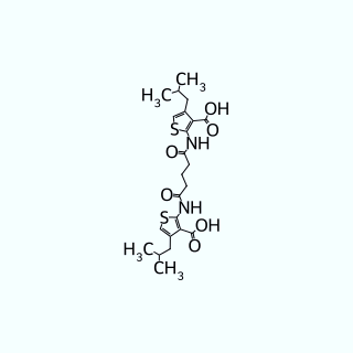 CC(C)Cc1csc(NC(=O)CCCC(=O)Nc2scc(CC(C)C)c2C(=O)O)c1C(=O)O